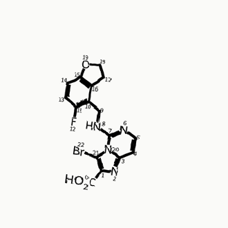 O=C(O)c1nc2ccnc(NCc3c(F)ccc4c3CCO4)n2c1Br